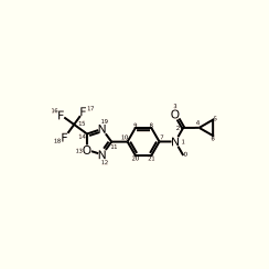 CN(C(=O)C1CC1)c1ccc(-c2noc(C(F)(F)F)n2)cc1